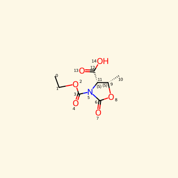 CCOC(=O)N1C(=O)O[C@@H](C)[C@H]1C(=O)O